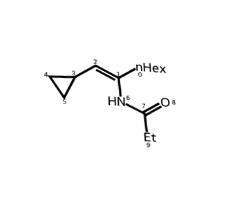 CCCCCCC(=CC1CC1)NC(=O)CC